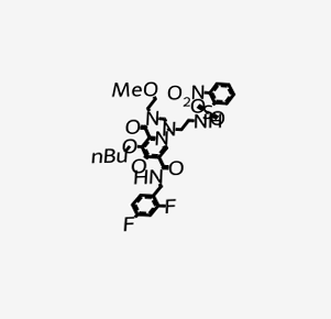 CCCCOc1c2n(cc(C(=O)NCc3ccc(F)cc3F)c1=O)N(CCNS(=O)(=O)c1ccccc1[N+](=O)[O-])CN(CCOC)C2=O